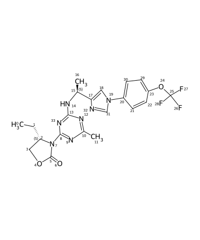 CC[C@H]1COC(=O)N1c1nc(C)nc(N[C@@H](C)c2cn(-c3ccc(OC(F)(F)F)cc3)cn2)n1